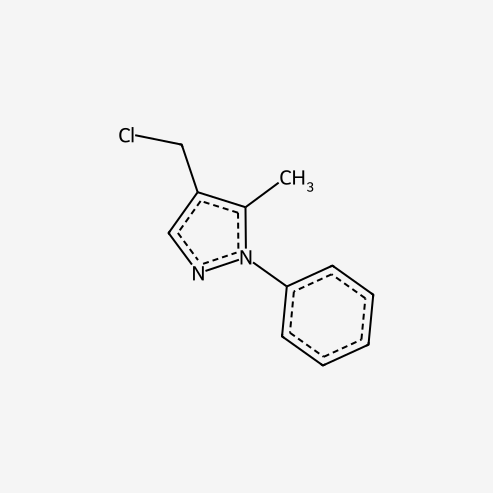 Cc1c(CCl)cnn1-c1ccccc1